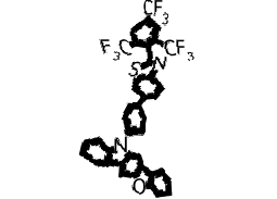 FC(F)(F)c1cc(C(F)(F)F)c(-c2nc3ccc(-c4ccc(-n5c6ccccc6c6cc7oc8ccccc8c7cc65)cc4)cc3s2)c(C(F)(F)F)c1